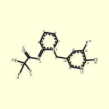 O=C(N=c1ccccn1Cc1cnc(Cl)c(F)c1)C(F)(F)F